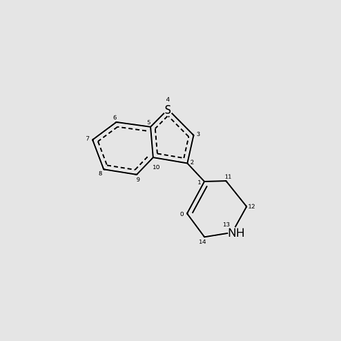 C1=C(c2csc3ccccc23)CCNC1